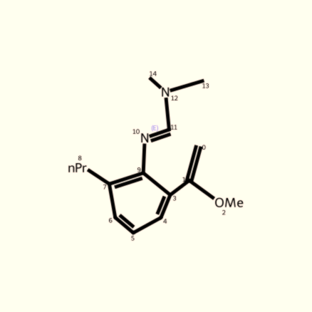 C=C(OC)c1cccc(CCC)c1/N=C/N(C)C